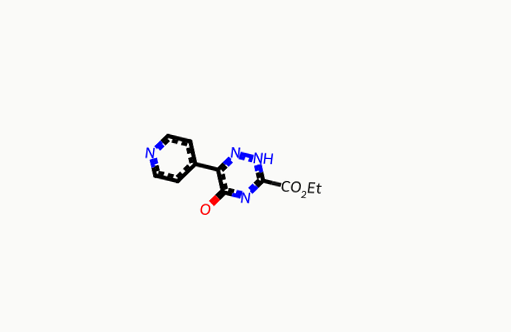 CCOC(=O)c1nc(=O)c(-c2ccncc2)n[nH]1